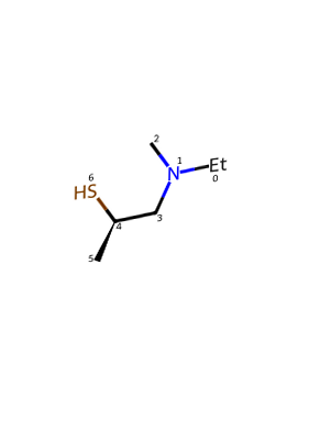 CCN(C)C[C@@H](C)S